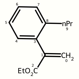 C=C(C(=O)OCC)c1ccccc1CCC